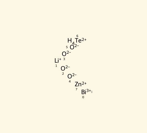 [Bi+3].[Li+].[O-2].[O-2].[O-2].[O-2].[TeH4+2].[Zn+2]